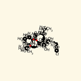 CN[C@H](CC(C)C)C(=O)NC1C(=O)N[C@@H](CC(N)=O)C(=O)N[C@H]2C(=O)N[C@H]3C(=O)N[C@H](C(=O)N[C@@H](C(=O)O)c4cc(O)cc(O)c4-c4cc3ccc4O)[C@H](O[C@H]3C[C@](C)(N)[C@@H](O)[C@H](C)O3)c3ccc(c(Cl)c3)Oc3cc2cc(c3O[C@@H]2O[C@H](CO)[C@@H](O[C@@H]3O[C@H](CNCc4ccc(S(=O)(=O)c5ccc(Cl)cc5)s4)[C@H](O)[C@H](O)[C@H]3O)[C@H](O)[C@H]2O)Oc2ccc(cc2Cl)[C@H]1O